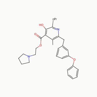 CCCc1nc(Cc2cccc(Oc3ccccc3)c2)c(C)c(C(=O)OCCN2CCCC2)c1O